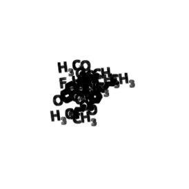 CC(=O)OCC(=O)[C@@]12OC(C)(C)O[C@@H]1C[C@H]1[C@@H]3C[C@H](F)C4=CC(=O)C=C[C@]4(C)[C@@]3(F)[C@@H](O)C[C@@]12C.CCCCNc1ccc(C(=O)OCCN(C)C)cc1